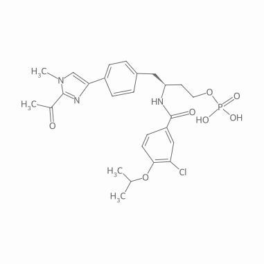 CC(=O)c1nc(-c2ccc(C[C@@H](CCOP(=O)(O)O)NC(=O)c3ccc(OC(C)C)c(Cl)c3)cc2)cn1C